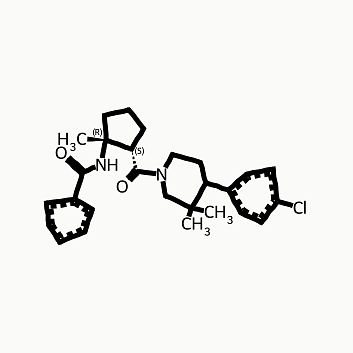 CC1(C)CN(C(=O)[C@H]2CCC[C@@]2(C)NC(=O)c2ccccc2)CCC1c1ccc(Cl)cc1